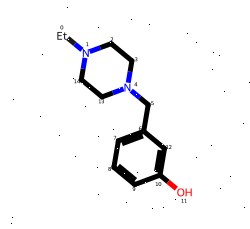 CCN1CCN(Cc2cccc(O)c2)CC1